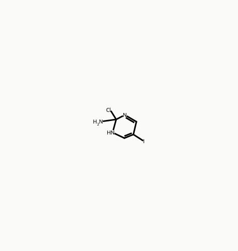 NC1(Cl)N=CC(I)=CN1